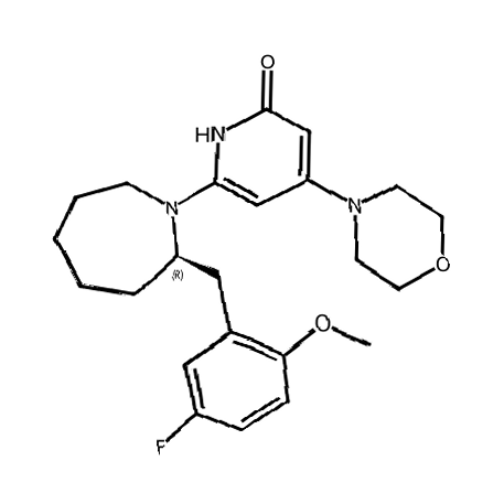 COc1ccc(F)cc1C[C@H]1CCCCCN1c1cc(N2CCOCC2)cc(=O)[nH]1